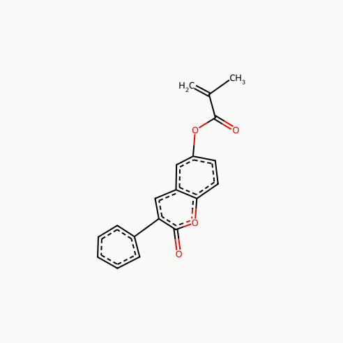 C=C(C)C(=O)Oc1ccc2oc(=O)c(-c3ccccc3)cc2c1